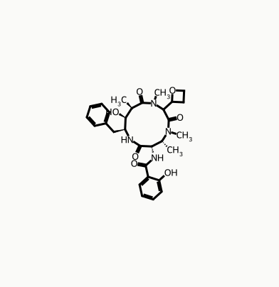 C[C@@H]1[C@H](NC(=O)c2ccccc2O)C(=O)N[C@@H](Cc2ccccc2)[C@@H](O)[C@@H](C)C(=O)N(C)C(C2CCO2)C(=O)N1C